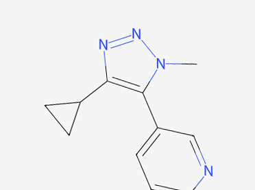 Cn1nnc(C2CC2)c1-c1cccnc1